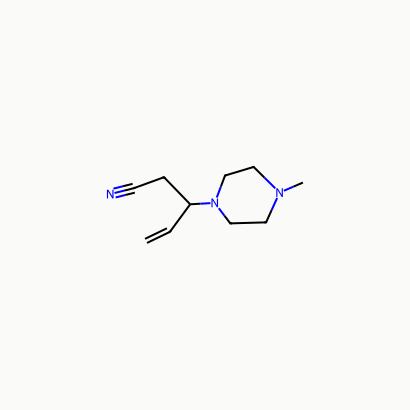 C=CC(CC#N)N1CCN(C)CC1